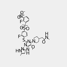 CNC(=O)CC1CCN(c2nc(Sc3ccc(S(=O)(=O)C(C)(C)c4cccc([N+](=O)[O-])c4F)cc3F)nc(Nc3cc(C)[nH]n3)c2OC)CC1